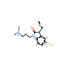 C=C=CC1C(=O)N(CCCN(C)C)c2ccc(F)cc21